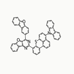 c1cc(-c2nc(-c3ccc4oc5ccccc5c4c3)c3oc4ccccc4c3n2)c2c(c1)-c1cccc3c(-n4c5ccccc5c5ccccc54)ccc(c13)S2